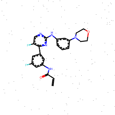 C=CC(=O)Nc1cc(F)cc(-c2nc(Nc3cccc(N4CCOCC4)c3)ncc2F)c1